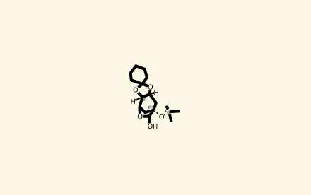 C[Si](C)(C)O[C@@]12CC(OC1O)[C@@H]1OC3(CCCCC3)O[C@@H]1C2